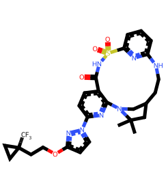 CC1(C)CC2CCNc3cccc(n3)S(=O)(=O)NC(=O)c3ccc(-n4ccc(OCCC5(C(F)(F)F)CC5)n4)nc3N1C2